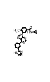 Cc1ccc(C(=O)NC2CC2)cc1-n1cnc2c(-c3cccc(-c4nnc[nH]4)c3)ncnc21